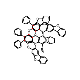 N#Cc1c2c(c(N3c4ccc(-c5ccccc5)cc4Oc4cc5oc6ccccc6c5cc43)c(N3c4ccc(-c5ccccc5)cc4Oc4cc5oc6ccccc6c5cc43)c1N1c3ccc(-c4ccccc4)cc3Oc3cc4oc5ccccc5c4cc31)C1CCC2O1